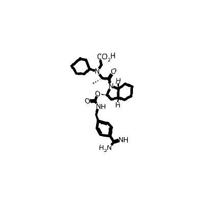 C[C@@H](C(=O)N1[C@@H](OC(=O)NCc2ccc(C(=N)N)cc2)C[C@H]2CCCC[C@H]21)N(CC(=O)O)C1CCCCC1